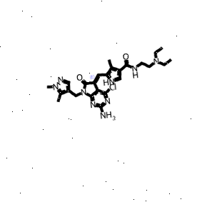 CCN(CC)CCNC(=O)c1c[nH]c(/C=C2/C(=O)N(Cc3cnn(C)c3C)c3nc(N)nc(Cl)c32)c1C